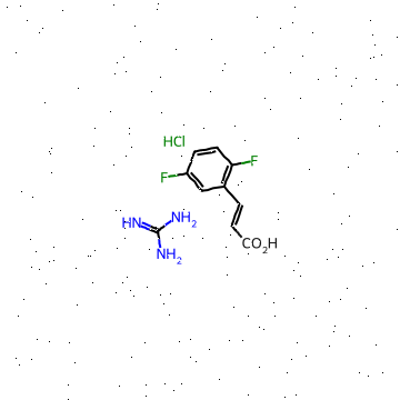 Cl.N=C(N)N.O=C(O)C=Cc1cc(F)ccc1F